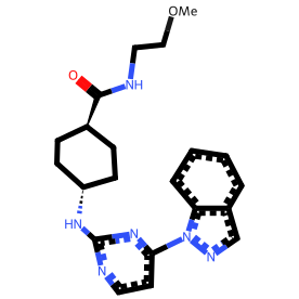 COCCNC(=O)[C@H]1CC[C@H](Nc2nccc(-n3ncc4ccccc43)n2)CC1